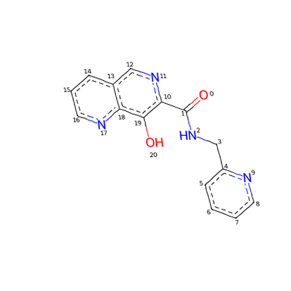 O=C(NCc1ccccn1)c1ncc2cccnc2c1O